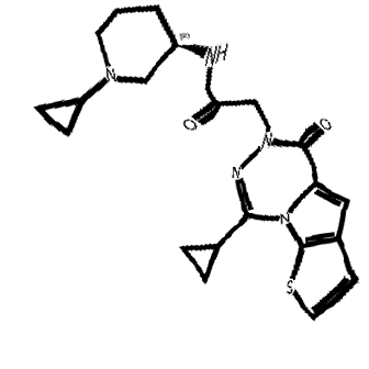 O=C(Cn1nc(C2CC2)n2c(cc3ccsc32)c1=O)N[C@@H]1CCCN(C2CC2)C1